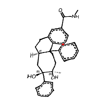 CNC(=O)c1ccc2c(c1)CC[C@@H]1C[C@@](O)(c3ccccc3)[C@](C)(O)CC21c1ccccc1